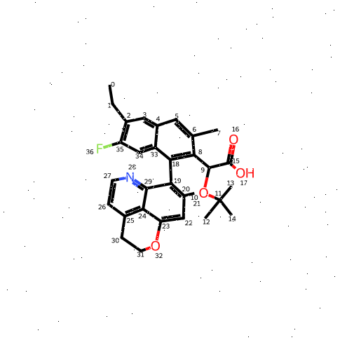 CCc1cc2cc(C)c(C(OC(C)(C)C)C(=O)O)c(-c3c(C)cc4c5c(ccnc35)CCO4)c2cc1F